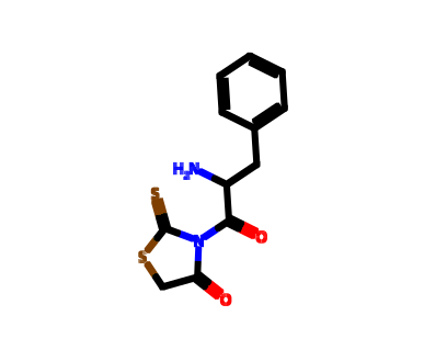 NC(Cc1ccccc1)C(=O)N1C(=O)CSC1=S